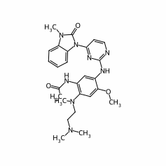 COc1cc(N(C)CCN(C)C)c(NC(C)=O)cc1Nc1nccc(-n2c(=O)n(C)c3ccccc32)n1